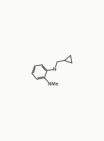 CNc1ccccc1[N]CC1CC1